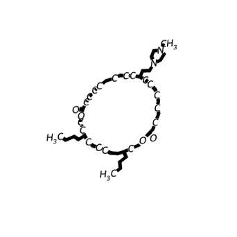 CCCCC1CCCCCCC(CCCC)CCOC(=O)CCCCCCCCCC(CCN2CCN(C)CC2)CCCCCCCCCC(=O)OCC1